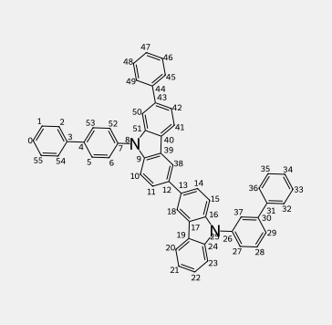 c1ccc(-c2ccc(-n3c4ccc(-c5ccc6c(c5)c5ccccc5n6-c5cccc(-c6ccccc6)c5)cc4c4ccc(-c5ccccc5)cc43)cc2)cc1